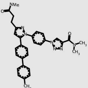 CNC(=O)CCc1cc(-c2ccc(-c3ccc(C)cc3)cc2)n(-c2ccc(-n3cc(C(=O)N(C)C)nn3)cc2)n1